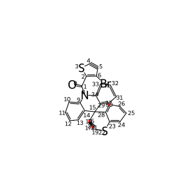 O=C(c1sc#cc1Br)N1c2ccccc2C2(c3ccccc3Sc3ccccc32)c2ccccc21